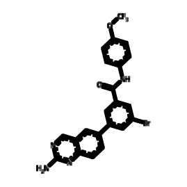 Nc1ncc2cc(-c3cc(Br)cc(C(=O)Nc4ccc(OC(F)(F)F)cc4)c3)ccc2n1